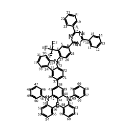 FC(F)(F)c1cc(-c2nc(-c3ccccc3)nc(-c3ccccc3)n2)ccc1-n1c2ccccc2c2cc(-c3cc4c5c(c3)N(c3ccccc3)c3ccccc3B5c3ccccc3N4c3ccccc3)ccc21